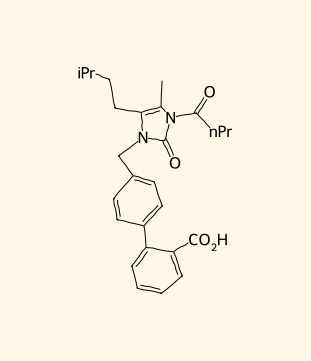 CCCC(=O)n1c(C)c(CCC(C)C)n(Cc2ccc(-c3ccccc3C(=O)O)cc2)c1=O